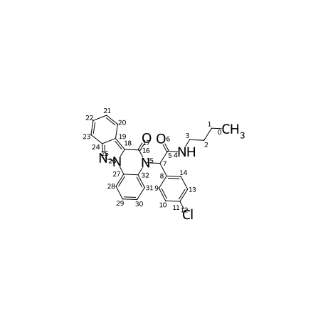 CCCCNC(=O)C(c1ccc(Cl)cc1)n1c(=O)c2c3ccccc3nn2c2ccccc21